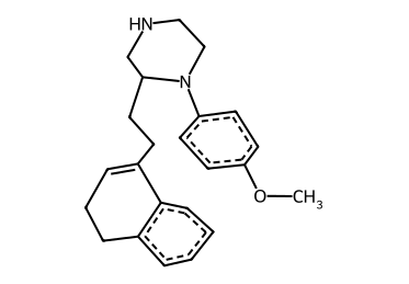 COc1ccc(N2CCNCC2CCC2=CCCc3ccccc32)cc1